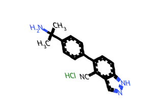 CC(C)(N)c1ccc(-c2ccc3[nH]ncc3c2C#N)cc1.Cl